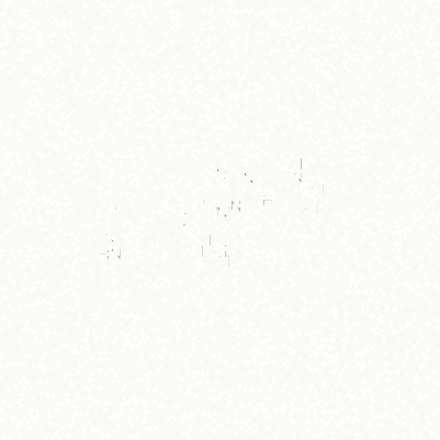 CC(C)(C)NC1CCN(c2ncc(-c3ccc(-c4c[nH]nc4Cl)cc3O)nn2)C1.Cl.Cl